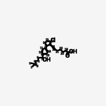 CC(C)(C)CCCC(O)c1ccc(C2CCC(Cl)C2C#CCCCCC(=O)O)cc1